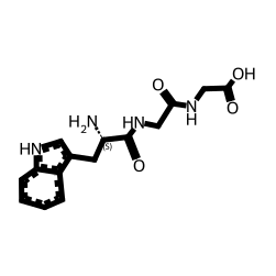 N[C@@H](Cc1c[nH]c2ccccc12)C(=O)NCC(=O)NCC(=O)O